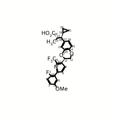 COc1ccc(F)c(-c2ccc([C@@H]3COc4ccc([C@H](C5CC5)[C@H](C)C(=O)O)cc4O3)c(C(F)(F)F)n2)c1